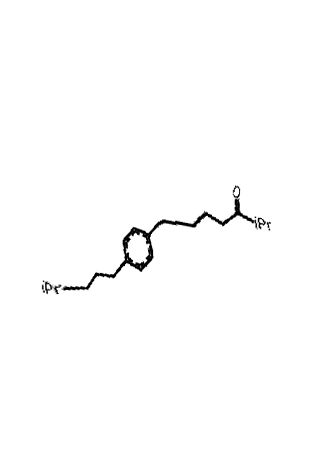 CC(C)CCCc1ccc(CCCCC(=O)C(C)C)cc1